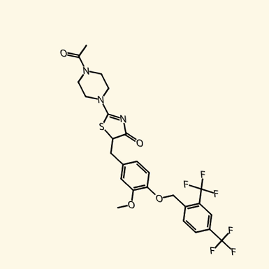 COc1cc(CC2SC(N3CCN(C(C)=O)CC3)=NC2=O)ccc1OCc1ccc(C(F)(F)F)cc1C(F)(F)F